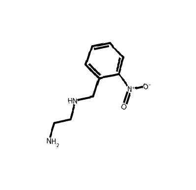 NCCNCc1ccccc1[N+](=O)[O-]